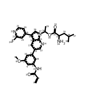 C=CC(=O)Nc1cc(OC)cc(-c2cnc3c(c2)c(-c2ccnc(F)c2)cn3C(C)OC(=O)C(N)CC(C)C)c1